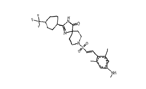 CNc1cc(C)c(/C=C/S(=O)(=O)N2CCC3(CC2)N=C(C2CCC(C(F)(F)F)CC2)NC3=O)c(C)c1